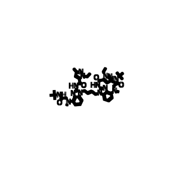 CCn1nc(C)cc1C(=O)Nc1nc2c(N(C)CC(=O)NC(C)(C)C)cccc2n1C/C=C/Cn1c(NC(=O)c2cc(C)nn2CC)nc2c(N(C)CC(=O)NC(C)(C)C)cccc21